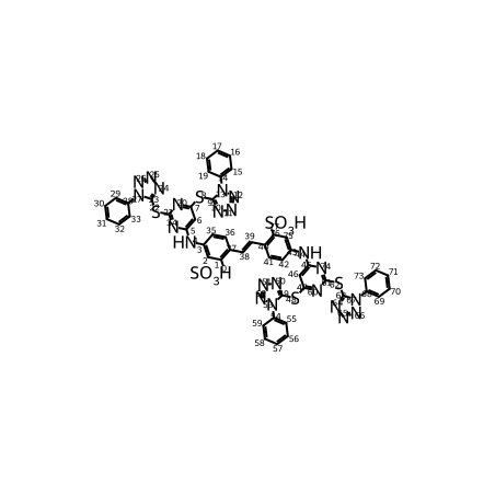 O=S(=O)(O)c1cc(Nc2cc(Sc3nnnn3-c3ccccc3)nc(Sc3nnnn3-c3ccccc3)n2)ccc1C=Cc1ccc(Nc2cc(Sc3nnnn3-c3ccccc3)nc(Sc3nnnn3-c3ccccc3)n2)cc1S(=O)(=O)O